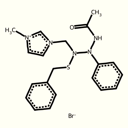 CC(=O)NN(c1ccccc1)N(Cn1cc[n+](C)c1)SCc1ccccc1.[Br-]